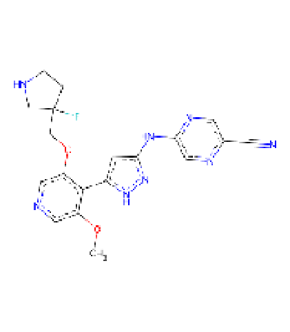 COc1cncc(OCC2(F)CCNC2)c1-c1cc(Nc2cnc(C#N)cn2)n[nH]1